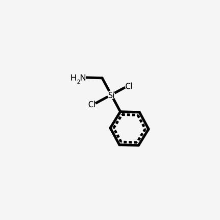 NC[Si](Cl)(Cl)c1ccccc1